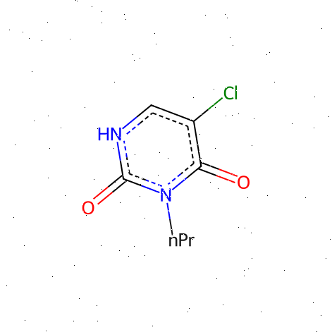 CCCn1c(=O)[nH]cc(Cl)c1=O